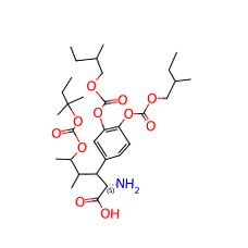 CCC(C)COC(=O)Oc1ccc(C(C(C)C(C)OC(=O)OC(C)(C)CC)[C@H](N)C(=O)O)cc1OC(=O)OCC(C)CC